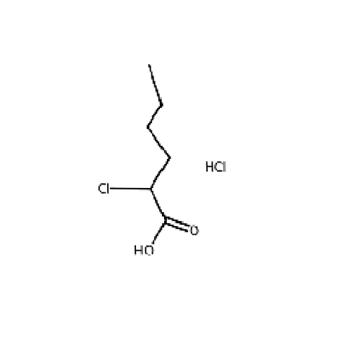 CCCCC(Cl)C(=O)O.Cl